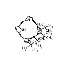 CC(C)(C)C1=Cc2cc3ccc(cc4nc(cc5[nH]c(c(C(C)(C)C)c1n2)c(C(C)(C)C)c5C(C)(C)C)C=C4)[nH]3